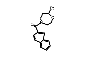 CCC1CCN(C(=O)c2ccc3ccccc3c2)CCO1